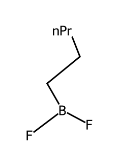 CCCCCB(F)F